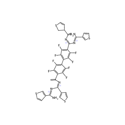 C=C(/N=C(\N=C(/N)c1ccsc1)c1ccsc1)c1c(F)c(F)c(-c2c(F)c(F)c(C(/N=C(\N)c3ccsc3)=N/C(=C)C3C=CSC3)c(F)c2F)c(F)c1F